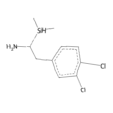 C[SiH](C)C(N)Cc1ccc(Cl)c(Cl)c1